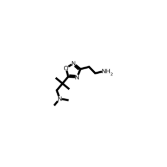 CN(C)CC(C)(C)c1nc(CCN)no1